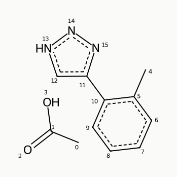 CC(=O)O.Cc1ccccc1-c1c[nH]nn1